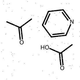 CC(=O)O.CC(C)=O.c1ccncc1